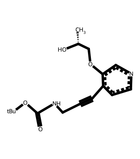 C[C@@H](O)COc1cnccc1C#CCNC(=O)OC(C)(C)C